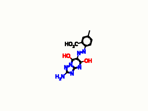 Cc1ccc(/N=N/c2c(O)nc3nc(N)nn3c2O)c(C(=O)O)c1